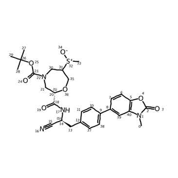 Cn1c(=O)oc2ccc(-c3ccc(C[C@@H](C#N)NC(=O)[C@@H]4CN(C(=O)OC(C)(C)C)CC([S+](C)[O-])CO4)cc3)cc21